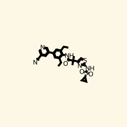 CCc1cc(-c2cncc(C#N)c2)cc(CC)c1NC(=O)C(C)(C)c1csc(NS(=O)(=O)C2CC2)n1